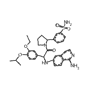 CCOc1cc(C(Nc2ccc3c(N)nccc3c2)C(=O)N2CCCC2c2cccc(S(N)(=O)=O)c2)ccc1OC(C)C